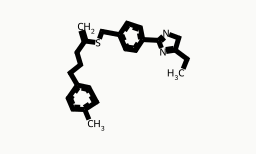 C=C(CCCc1ccc(C)cc1)SCc1ccc(C2=NCC(CC)=N2)cc1